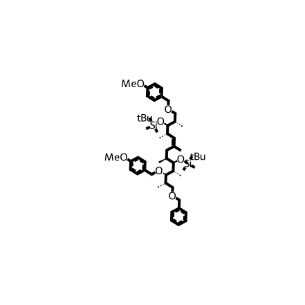 COc1ccc(COC[C@H](C)[C@H](O[Si](C)(C)C(C)(C)C)[C@@H](C)/C=C(/C)C[C@H](C)[C@@H](O[Si](C)(C)C(C)(C)C)[C@H](C)[C@@H](OCc2ccc(OC)cc2)[C@@H](C)COCc2ccccc2)cc1